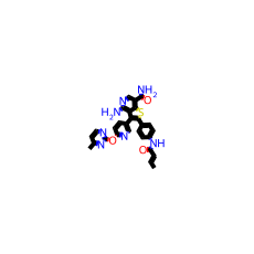 CC=CC(=O)Nc1ccc(-c2sc3c(C(N)=O)cnc(N)c3c2-c2ccc(Oc3nccc(C)n3)nc2)cc1